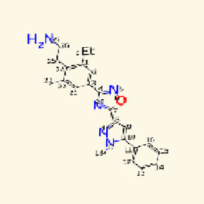 CCc1cc(-c2noc(-c3cc(-c4ccccc4)n(C)n3)n2)cc(C)c1CCN